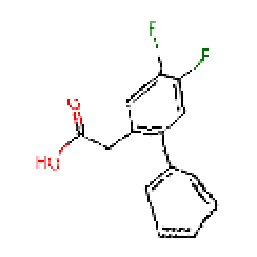 O=C(O)Cc1cc(F)c(F)cc1-c1ccccc1